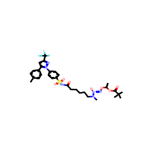 Cc1ccc(-c2cc(C(F)(F)F)nn2-c2ccc(S(=O)(=O)NC(=O)CCCCCN(C)/[N+]([O-])=N/OC(C)OC(=O)C(C)(C)C)cc2)cc1